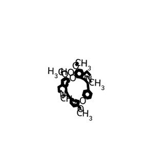 COc1ccc2cc1Oc1ccc(cc1)C[C@H]1c3c(cc(OC)c(O)c3Oc3cc4c(cc3OC)CCN(C)[C@@H]4C2)CCN1C